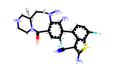 N#Cc1c(N)sc2c(F)ccc(-c3c(F)cc4c(c3N)N(N)CC[C@@H]3CNCCN3C4=O)c12